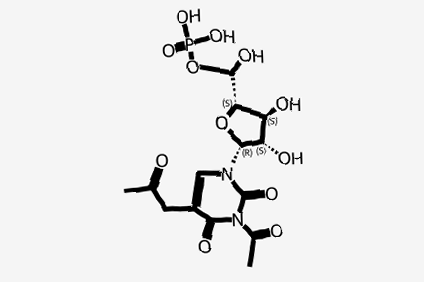 CC(=O)Cc1cn([C@@H]2O[C@H](C(O)OP(=O)(O)O)[C@@H](O)[C@@H]2O)c(=O)n(C(C)=O)c1=O